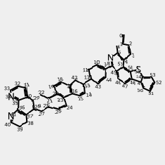 C=C/C=C\c1c(C)nc(C2=CCC(C3C=Cc4c(ccc(CC)c4/C=C\CCC4Cc5cccnc5C5=C4CCC=N5)C3)C=C2)c2ccc3c4ccccc4sc3c12